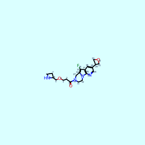 O=C(CCOCC1CCN1)N1CCn2c(c(F)c3cc(C4COC4)cnc32)C1